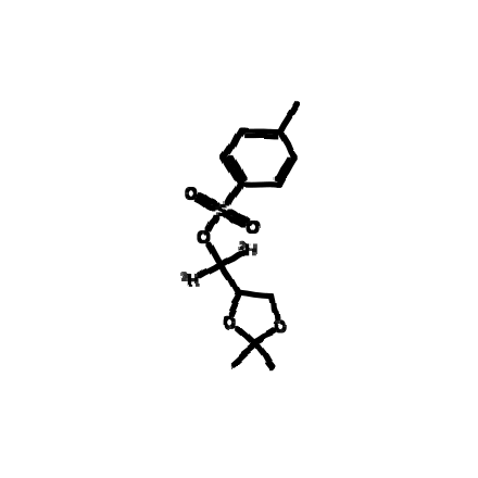 [2H]C([2H])(OS(=O)(=O)c1ccc(C)cc1)C1COC(C)(C)O1